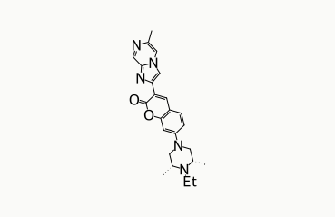 CCN1[C@H](C)CN(c2ccc3cc(-c4cn5cc(C)ncc5n4)c(=O)oc3c2)C[C@@H]1C